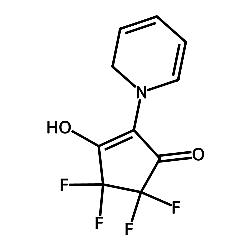 O=C1C(N2C=CC=CC2)=C(O)C(F)(F)C1(F)F